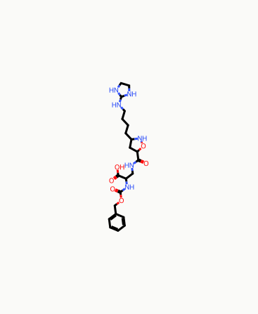 O=C(NC(CNC(=O)C1CC(CCCCNC2NCCN2)NO1)C(=O)O)OCc1ccccc1